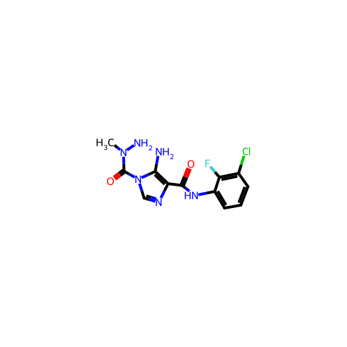 CN(N)C(=O)n1cnc(C(=O)Nc2cccc(Cl)c2F)c1N